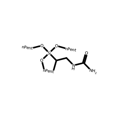 CCCCCO[Si](OCCCCC)(OCCCCC)C(C)CNC(N)=O